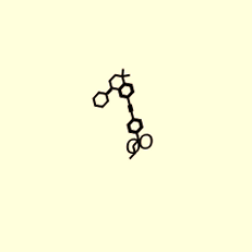 CCOC(=O)c1ccc(C#Cc2ccc3c(c2)C(=C2CCCCC2)CCC3(C)C)cc1